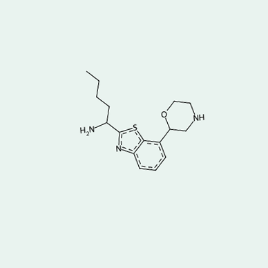 CCCCC(N)c1nc2cccc(C3CNCCO3)c2s1